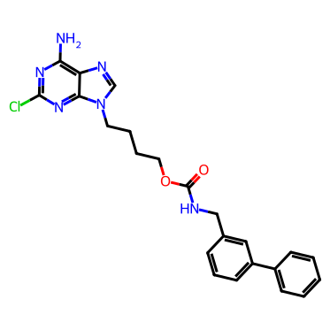 Nc1nc(Cl)nc2c1ncn2CCCCOC(=O)NCc1cccc(-c2ccccc2)c1